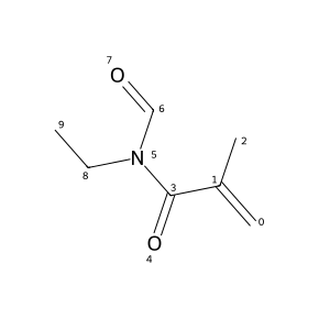 C=C(C)C(=O)N(C=O)CC